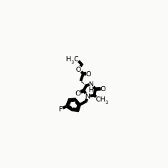 CCOC(=O)C[C@@H]1NC(=O)C(C)N(Cc2ccc(F)cc2)C1=O